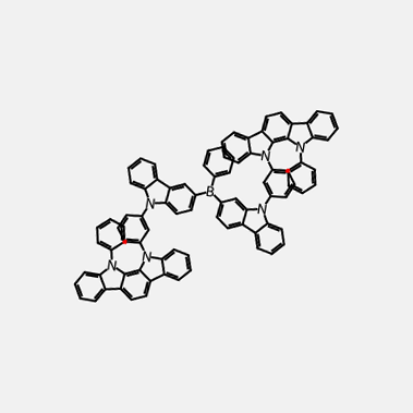 c1ccc(B(c2ccc3c(c2)c2ccccc2n3-c2cccc(-n3c4ccccc4c4ccc5c6ccccc6n(-c6ccccc6)c5c43)c2)c2ccc3c4ccccc4n(-c4cccc(-n5c6ccccc6c6ccc7c8ccccc8n(-c8ccccc8)c7c65)c4)c3c2)cc1